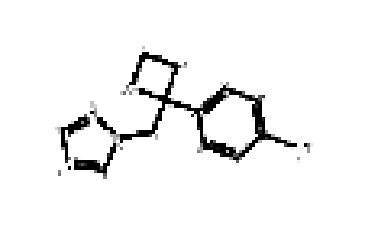 CC(C)c1ccc(C2(Cn3cncn3)CCO2)cc1